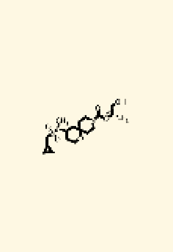 CN(C1CCOC2(CCN(C(=O)O[C@H](CO)C(F)(F)F)CC2)C1)S(=O)(=O)CC1CC1